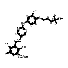 COc1cc(C)c(F)c(COc2cnc(Nc3ccc(OCCCC(C)(C)O)c(F)c3)nc2)c1F